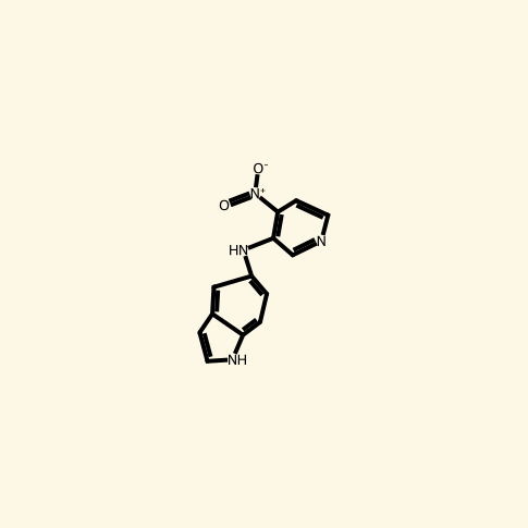 O=[N+]([O-])c1ccncc1Nc1ccc2[nH]ccc2c1